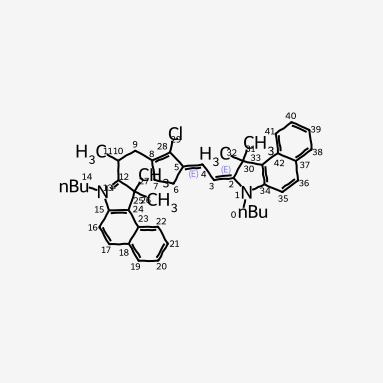 CCCCN1/C(=C/C=C2\CCC(CC(C)C3=[N+](CCCC)c4ccc5ccccc5c4C3(C)C)=C2Cl)C(C)(C)c2c1ccc1ccccc21